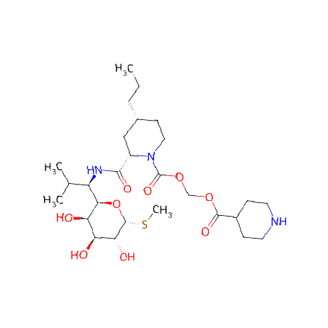 CCC[C@@H]1CCN(C(=O)OCOC(=O)C2CCNCC2)[C@H](C(=O)N[C@H](C(C)C)[C@H]2O[C@H](SC)[C@H](O)[C@@H](O)[C@H]2O)C1